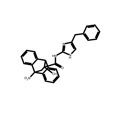 CC1(C(=O)Nc2nc(Cc3ccccc3)c[nH]2)CC2([N+](=O)[O-])c3ccccc3C1c1ccccc12